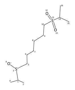 CC(C)[S+]([O-])CCCCCCS(=O)(=O)C(C)C